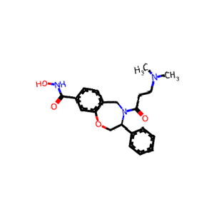 CN(C)CCC(=O)N1Cc2ccc(C(=O)NO)cc2OCC1c1ccccc1